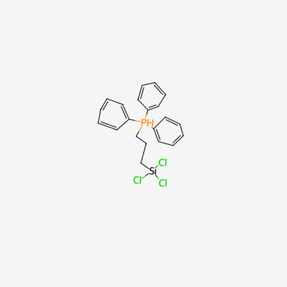 Cl[Si](Cl)(Cl)CCC[PH](c1ccccc1)(c1ccccc1)c1ccccc1